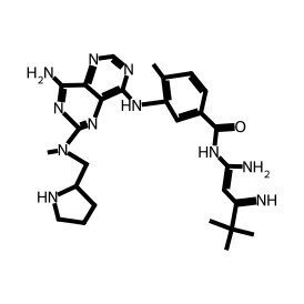 Cc1ccc(C(=O)N/C(N)=C/C(=N)C(C)(C)C)cc1Nc1ncnc2c(N)nc(N(C)CC3CCCN3)nc12